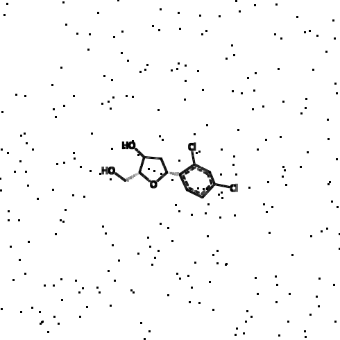 OC[C@H]1O[C@@H](c2ccc(Cl)cc2Cl)CC1O